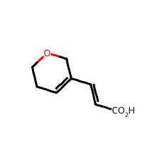 O=C(O)C=CC1=CCCOC1